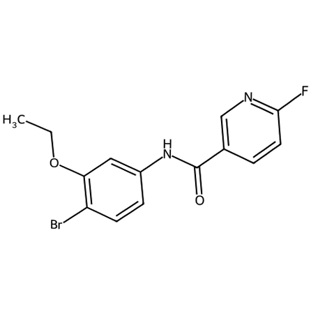 CCOc1cc(NC(=O)c2ccc(F)nc2)ccc1Br